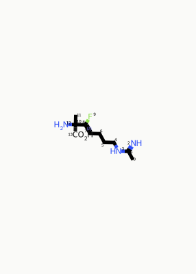 CC(=N)NCCC/C=C(\F)C(C)(N)C(=O)O